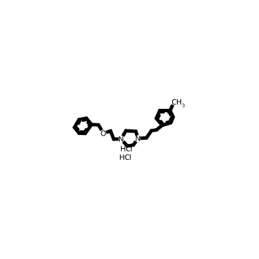 Cc1ccc(CCCN2CCN(CCOCc3ccccc3)CC2)cc1.Cl.Cl